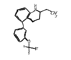 CCC1CCc2c(cccc2-c2cccc(OC(F)(F)F)c2)N1